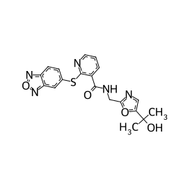 CC(C)(O)c1cnc(CNC(=O)c2cccnc2Sc2ccc3nonc3c2)o1